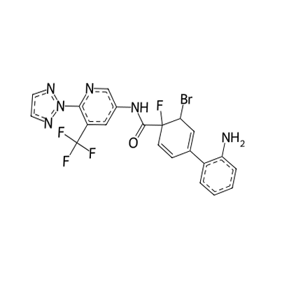 Nc1ccccc1C1=CC(Br)C(F)(C(=O)Nc2cnc(-n3nccn3)c(C(F)(F)F)c2)C=C1